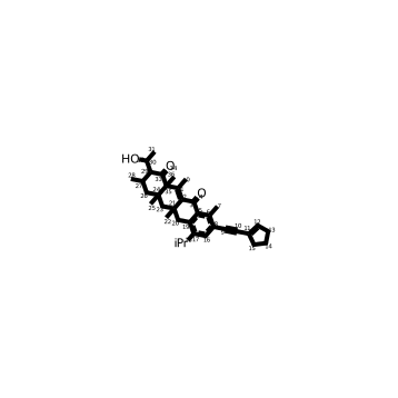 CC1=C2C(=O)c3c(C)c(C#CC4=CCCC4)cc(C(C)C)c3CC2(C)CC2(C)CC(C)C(C(C)O)C(=O)C12C